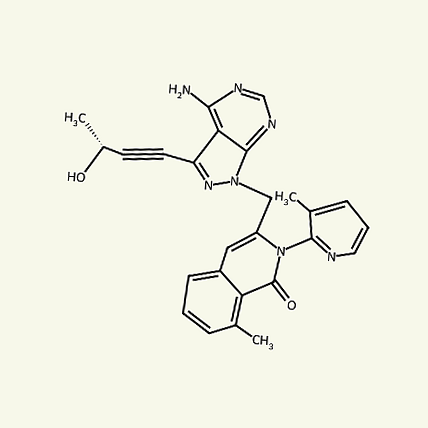 Cc1cccnc1-n1c(Cn2nc(C#C[C@@H](C)O)c3c(N)ncnc32)cc2cccc(C)c2c1=O